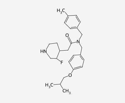 Cc1ccc(CN(Cc2ccc(OCC(C)C)cc2)C(=O)CC2CCNCC2F)cc1